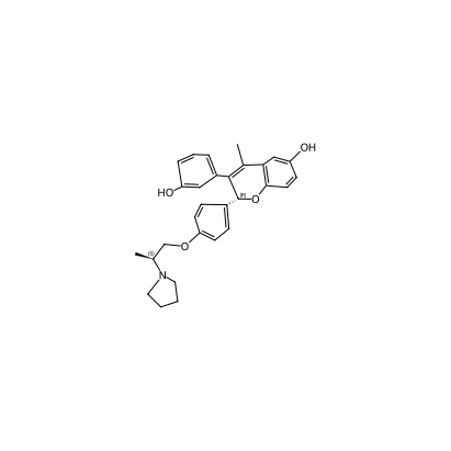 CC1=C(c2cccc(O)c2)[C@@H](c2ccc(OC[C@H](C)N3CCCC3)cc2)Oc2ccc(O)cc21